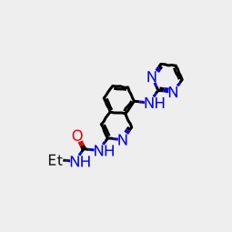 CCNC(=O)Nc1cc2cccc(Nc3ncccn3)c2cn1